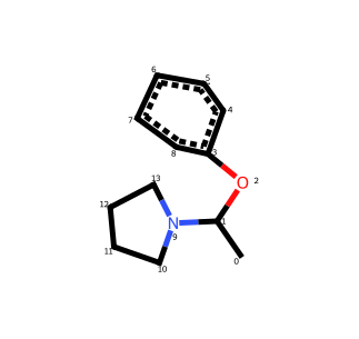 CC(Oc1c[c]ccc1)N1CCCC1